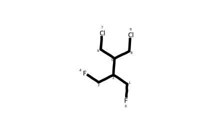 FCC(CF)[C](CCl)CCl